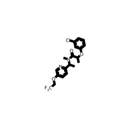 CC(Oc1cccc(Cl)c1)C(=O)N(C)C(C)c1ccc(OCC(F)(F)F)cn1